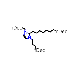 CCCCCCCCCCCCCCCCCC1N(CCCCCCCCCCC)C=CN1CCCCCCCCCCCCC